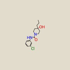 CCCC1(O)CCN(C(=O)Nc2cccc(Cl)c2)CC1